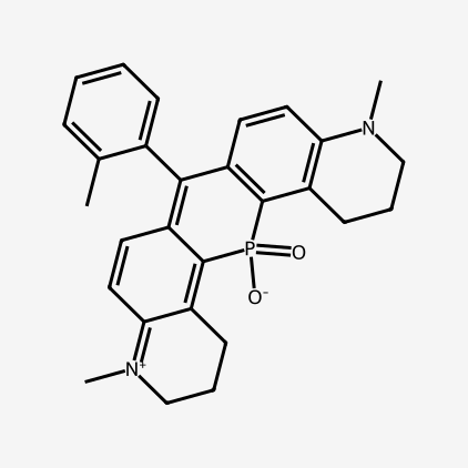 Cc1ccccc1C1=c2ccc3c(c2P(=O)([O-])c2c1ccc1c2CCCN1C)CCC[N+]=3C